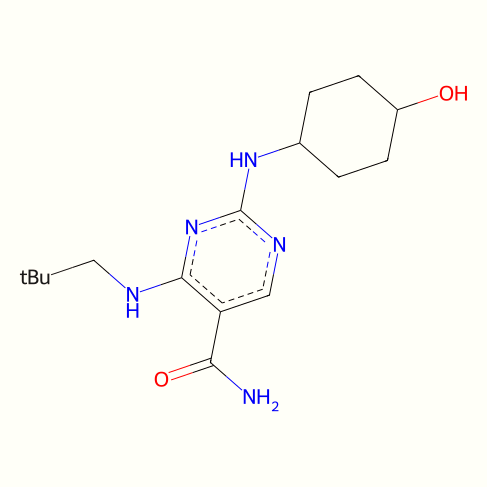 CC(C)(C)CNc1nc(NC2CCC(O)CC2)ncc1C(N)=O